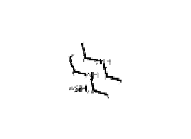 CCNCC.CCNCC.[SiH4]